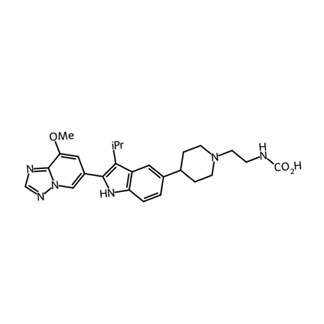 COc1cc(-c2[nH]c3ccc(C4CCN(CCNC(=O)O)CC4)cc3c2C(C)C)cn2ncnc12